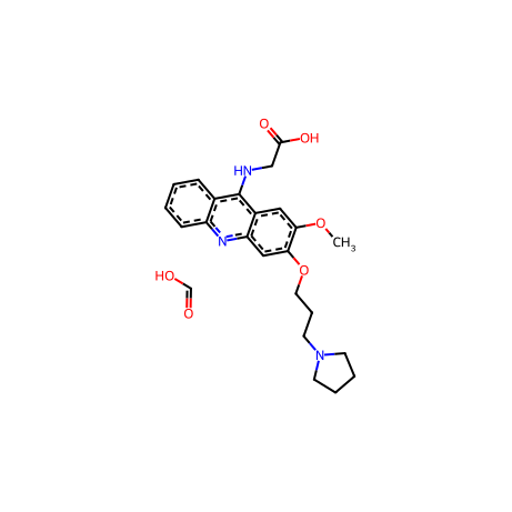 COc1cc2c(NCC(=O)O)c3ccccc3nc2cc1OCCCN1CCCC1.O=CO